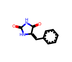 O=C1NC(=O)/C(=C\c2cc[c]cc2)N1